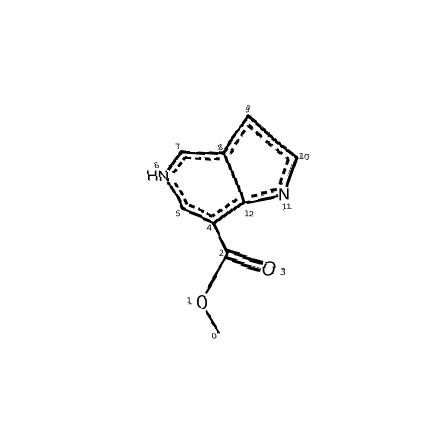 COC(=O)c1c[nH]cc2ccnc1-2